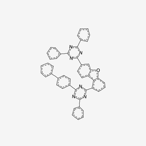 c1ccc(-c2ccc(-c3nc(-c4ccccc4)nc(-c4cccc5oc6cc(-c7nc(-c8ccccc8)nc(-c8ccccc8)n7)ccc6c45)n3)cc2)cc1